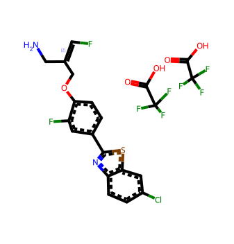 NC/C(=C/F)COc1ccc(-c2nc3ccc(Cl)cc3s2)cc1F.O=C(O)C(F)(F)F.O=C(O)C(F)(F)F